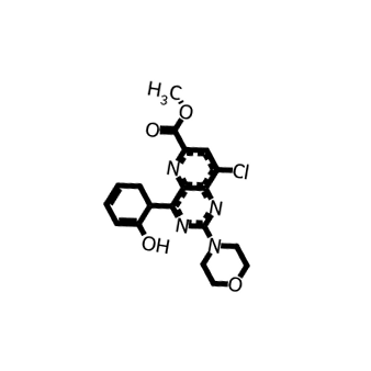 COC(=O)c1cc(Cl)c2nc(N3CCOCC3)nc(C3CC=CC=C3O)c2n1